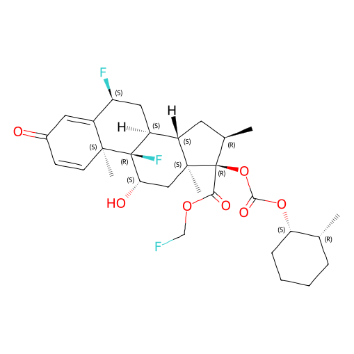 C[C@@H]1CCCC[C@@H]1OC(=O)O[C@]1(C(=O)OCF)[C@H](C)C[C@H]2[C@@H]3C[C@H](F)C4=CC(=O)C=C[C@]4(C)[C@@]3(F)[C@@H](O)C[C@@]21C